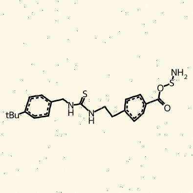 CC(C)(C)c1ccc(CNC(=S)NCCc2ccc(C(=O)OSN)cc2)cc1